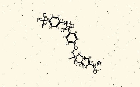 CC1(COc2ccc(S(=O)(=O)Nc3ccc(C(F)(F)F)cc3)cc2)Cn2cc([N+](=O)[O-])nc2O1